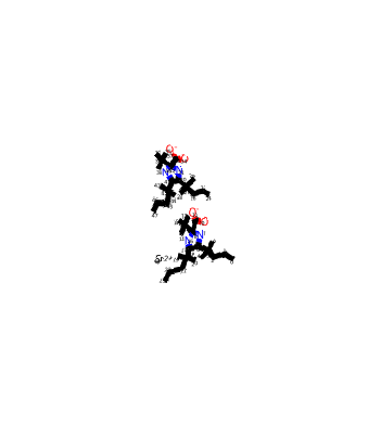 CCCC(C)(C)C1=NC(C(=O)[O-])(C(C)(C)C)N=C1C(C)(C)CCC.CCCC(C)(C)C1=NC(C(=O)[O-])(C(C)(C)C)N=C1C(C)(C)CCC.[Sr+2]